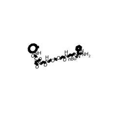 CCCCc1nc2c(N)nc3ccccc3c2n1CCCCNC(=O)CCOCCOCCNC(=O)CCN1C(=O)CC(SCC(=O)NC2CCCCCCCCC(C)C2)C1=O